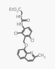 CCOC(=O)CNC(=O)Nc1ccc(Cl)c(COc2cccc3ccc(C)nc23)c1Cl